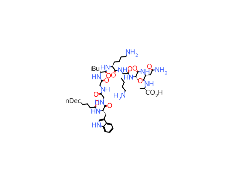 CCCCCCCCCCCCCC(=O)N[C@@H](Cc1c[nH]c2ccccc12)C(=O)NCC(=O)NCC(=O)N[C@H](C(=O)N[C@@H](CCCCN)C(=O)N[C@@H](CCCCN)C(=O)N[C@@H](C)C(=O)N[C@@H](CC(N)=O)C(=O)N[C@@H](C)C(=O)O)[C@@H](C)CC